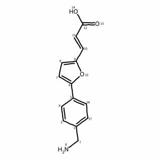 NCc1ccc(-c2ccc(/C=C/C(=O)O)o2)cc1